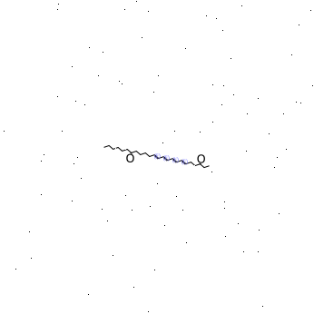 CCCCCCC(=O)CCCC/C=C/C=C/C=C/C=C/CCC(=O)CC